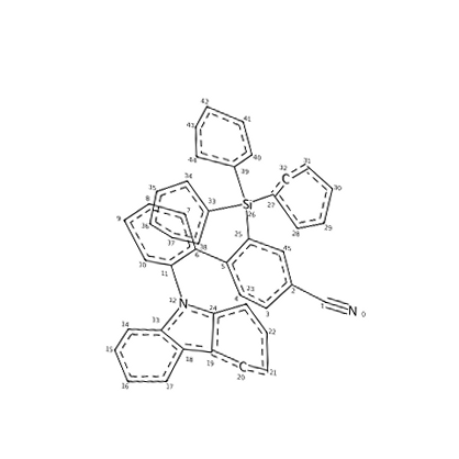 N#Cc1ccc(-c2ccccc2-n2c3ccccc3c3ccccc32)c([Si](c2ccccc2)(c2ccccc2)c2ccccc2)c1